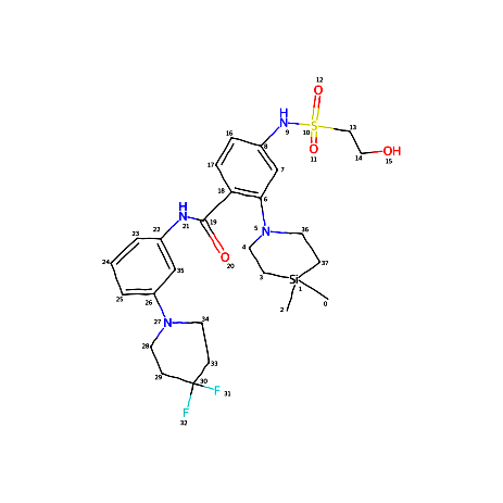 C[Si]1(C)CCN(c2cc(NS(=O)(=O)CCO)ccc2C(=O)Nc2cccc(N3CCC(F)(F)CC3)c2)CC1